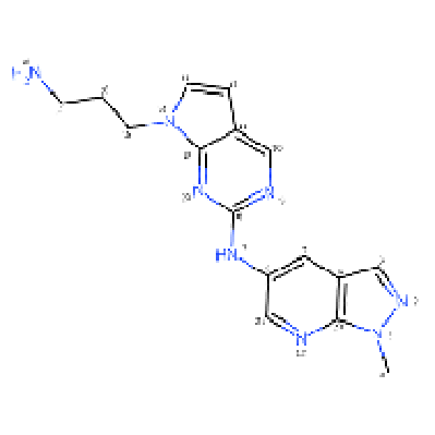 Cn1ncc2cc(Nc3ncc4ccn(CCCN)c4n3)cnc21